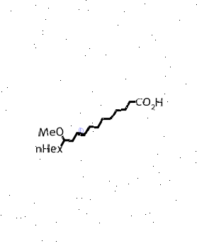 CCCCCCC(C/C=C/CCCCCCCC(=O)O)OC